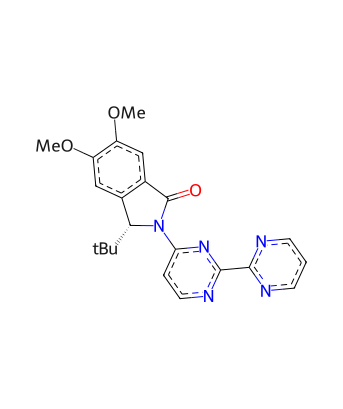 COc1cc2c(cc1OC)[C@@H](C(C)(C)C)N(c1ccnc(-c3ncccn3)n1)C2=O